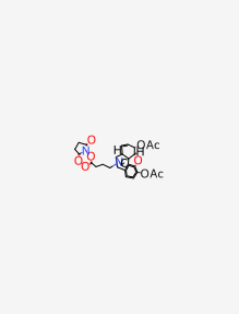 CC(=O)Oc1ccc2c3c1O[C@H]1[C@@H](OC(C)=O)C=C[C@H]4C(C2)N(CCCC(=O)ON2C(=O)CCC2=O)CC[C@@]341